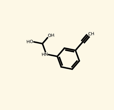 C#Cc1cccc(NC(O)O)c1